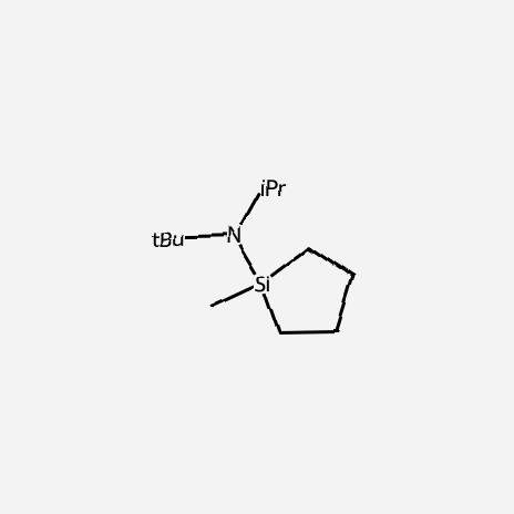 CC(C)N(C(C)(C)C)[Si]1(C)CCCC1